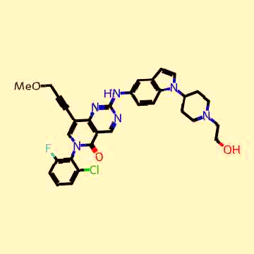 COCC#Cc1cn(-c2c(F)cccc2Cl)c(=O)c2cnc(Nc3ccc4c(ccn4C4CCN(CCO)CC4)c3)nc12